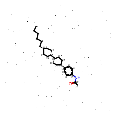 CCCCCC[C@H]1CC[C@H]([C@H]2CC[C@H](c3ccc(NC(C)=O)cc3)CC2)CC1